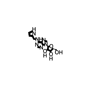 OC[C@H]1O[C@@H](n2cnc3c(NCc4ccc[nH]4)ncnc32)C(O)C1O